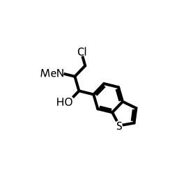 CNC(CCl)C(O)c1ccc2ccsc2c1